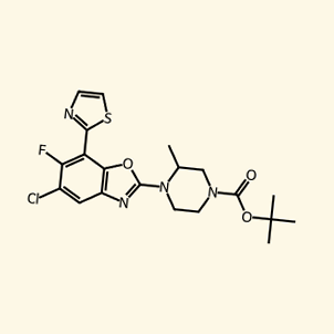 CC1CN(C(=O)OC(C)(C)C)CCN1c1nc2cc(Cl)c(F)c(-c3nccs3)c2o1